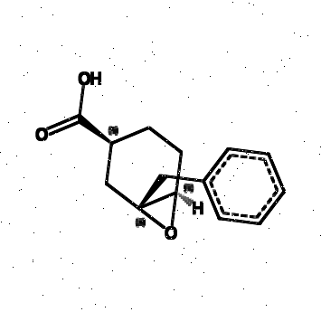 O=C(O)[C@H]1CC[C@H]2O[C@]2(Cc2ccccc2)C1